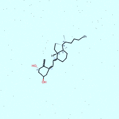 C=C1/C(=C\C=C2/CCC[C@]3(C)[C@@H]([C@H](C)CCCC(C)C)CC[C@@H]23)CC(O)C[C@@H]1O